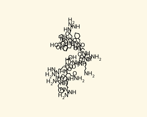 CC[C@](C)(NC(=O)[C@H](CC1CCCCC1)NC(=O)C(Cc1ccncc1)NC(=O)[C@H](CCCNC(=N)N)NC(=O)[C@H]1CCCN1C(=O)[C@H](CO)NC(C)=O)C(=O)N[C@@H](CC(N)=O)C(=O)NC(CCCCN)C(=O)NC(C)(C)C(=O)NC(C(=O)N[C@@H](CCCNC(=N)N)C(=O)NC(CCC(N)=O)C(=O)N[C@@H](CCCNC(=N)N)C(=O)NC(CC1CCCCC1)C(N)=O)C(C)O